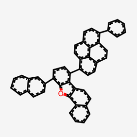 c1ccc(-c2ccc3ccc4c(-c5ccc(-c6ccc7ccccc7c6)c6oc7c8ccccc8ccc7c56)ccc5ccc2c3c54)cc1